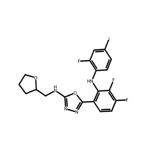 Fc1cc(I)ccc1Nc1c(-c2nnc(NCC3CCCO3)o2)ccc(F)c1F